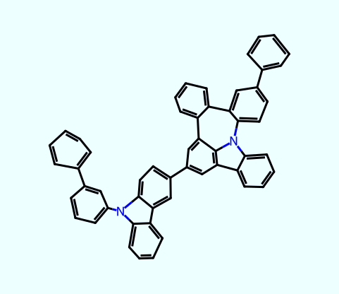 c1ccc(-c2cccc(-n3c4ccccc4c4cc(-c5cc6c7c(c5)c5ccccc5n7-c5ccc(-c7ccccc7)cc5-c5ccccc5-6)ccc43)c2)cc1